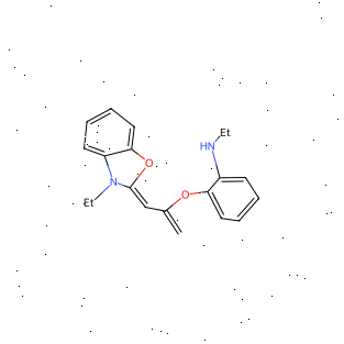 C=C(/C=C1\Oc2ccccc2N1CC)Oc1ccccc1NCC